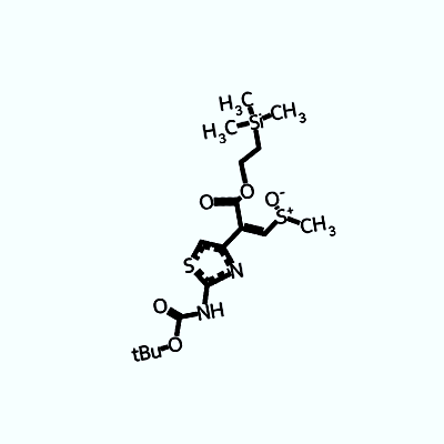 C[S+]([O-])/C=C(\C(=O)OCC[Si](C)(C)C)c1csc(NC(=O)OC(C)(C)C)n1